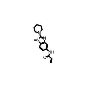 C=CC(=O)Nc1ccc2c(c1)nc(N1CCCCC1)n2C